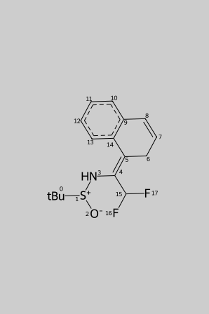 CC(C)(C)[S+]([O-])NC(=C1CC=Cc2ccccc21)C(F)F